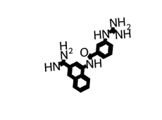 N=C(N)Nc1cccc(C(=O)Nc2cc(C(=N)N)cc3ccccc23)c1